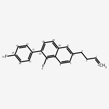 C=CCCc1ccc2c(F)c(-c3ccc(F)cc3)ccc2c1